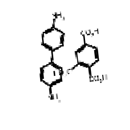 Nc1ccc(-c2ccc(N)cc2)cc1.O=C(O)c1ccc(C(=O)O)c(C(=O)O)c1